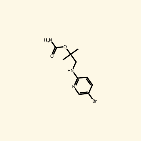 CC(C)(CNc1ccc(Br)cn1)OC(N)=O